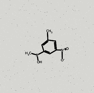 CB(O)c1cc(C)cc([N+](=O)[O-])c1